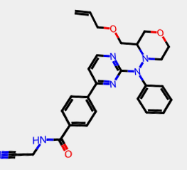 C=CCOCC1COCCN1N(c1ccccc1)c1nccc(-c2ccc(C(=O)NCC#N)cc2)n1